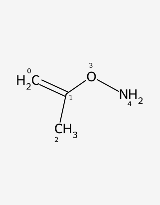 C=C(C)ON